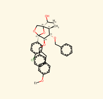 CCOc1ccc(Cc2cc([C@]34OC[C@](C(C)O)(O3)[C@@H](C)[C@H](OCc3ccccc3)[C@H]4OCc3ccccc3)ccc2Cl)cc1